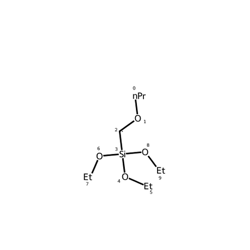 CCCO[CH][Si](OCC)(OCC)OCC